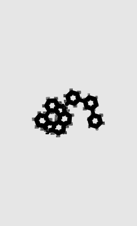 c1ccc(-c2cccc(-c3cccc(-n4c5cccc6c5c5c7c(ccc8sc9cccc-6c9c87)ccc54)c3)c2)cc1